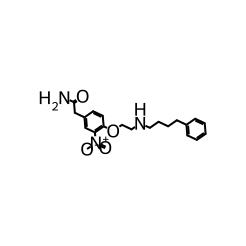 NC(=O)Cc1ccc(OCCNCCCCc2ccccc2)c([N+](=O)[O-])c1